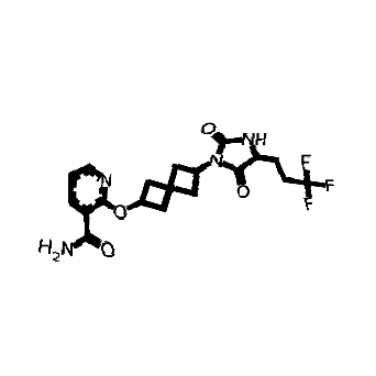 NC(=O)c1cccnc1OC1CC2(C1)CC(N1C(=O)NC(CCC(F)(F)F)C1=O)C2